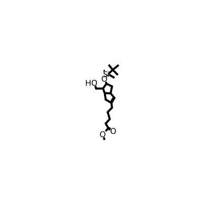 COC(=O)CCCCC1=CC2CC(O[Si](C)(C)C(C)(C)C)C(CO)C2C1